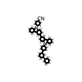 N#Cc1ccc(-n2c3ccccc3c3cc(-c4ccc5c(c4)c4ccccc4n5-c4ccc(-c5cccc(-c6ccccc6)c5)cc4)ccc32)cc1